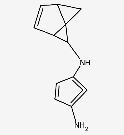 NC1=C=C(NC2C3C=CC4CC432)C=C1